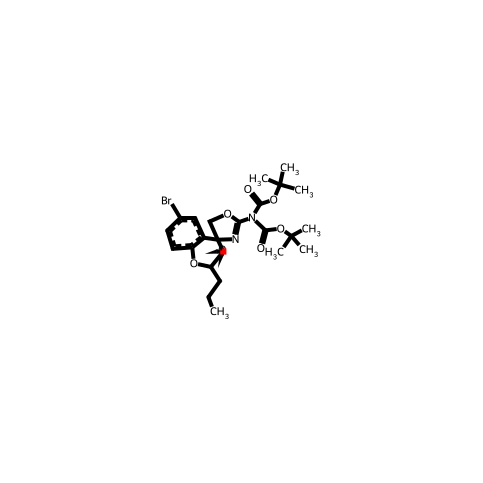 CCCC1Oc2ccc(Br)cc2C2(COC(N(C(=O)OC(C)(C)C)C(=O)OC(C)(C)C)=N2)C12COC2